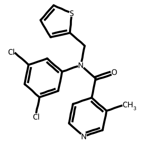 Cc1cnccc1C(=O)N(Cc1cccs1)c1cc(Cl)cc(Cl)c1